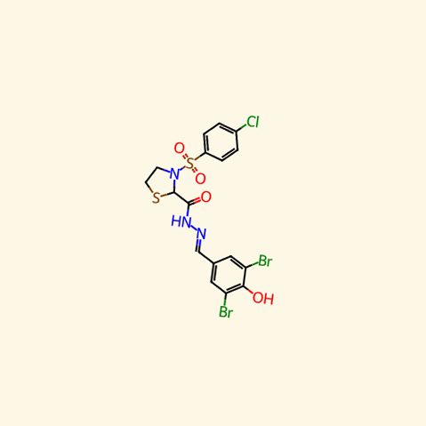 O=C(NN=Cc1cc(Br)c(O)c(Br)c1)C1SCCN1S(=O)(=O)c1ccc(Cl)cc1